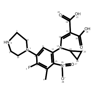 Cc1c(F)c(N2CCNCC2)cc(N(C=C(C(=O)O)C(=O)O)C2CC2)c1[N+](=O)[O-]